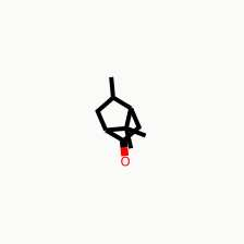 CC1CC2C(=O)CC1C2(C)C